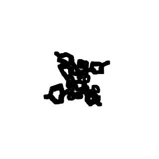 Cc1ccc(S(=O)(=O)N(C(C=CC(=O)O)C(c2ccccc2)N(S(=O)(=O)c2ccc(C)cc2)S(=O)(=O)c2ccc(C)cc2)S(=O)(=O)c2ccc(C)cc2)cc1